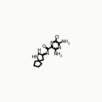 Nc1nc(N)c(C(=O)/N=C2/CC3(CCCC3)NN2)nc1Cl